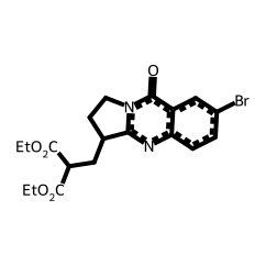 CCOC(=O)C(CC1CCn2c1nc1ccc(Br)cc1c2=O)C(=O)OCC